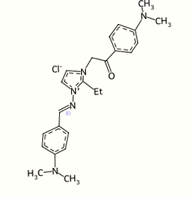 CCc1n(CC(=O)c2ccc(N(C)C)cc2)cc[n+]1/N=C/c1ccc(N(C)C)cc1.[Cl-]